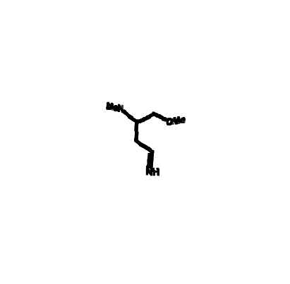 CNC(CC=N)COC